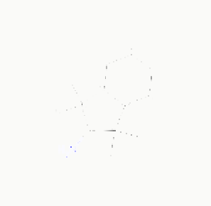 CC1(C)C2CCCCC2C(C)(C)C1N